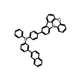 c1ccc(N(c2ccc(-c3ccc4c(c3)c3cccc5c3n4-c3ccccc3O5)cc2)c2cccc(-c3ccc4ccccc4c3)c2)cc1